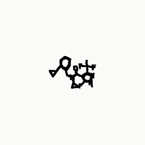 Cn1nc(C(C)(F)F)c(C(=O)N(Cc2ccccc2C2CC2)C2CC2)c1F